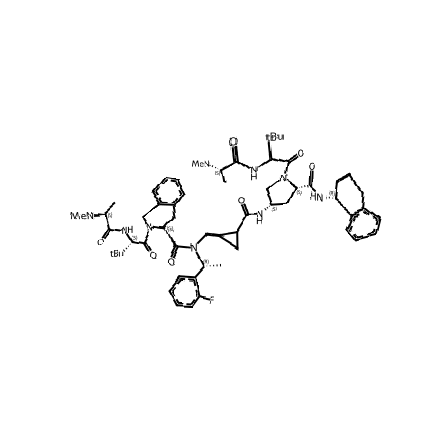 CN[C@@H](C)C(=O)NC(C(=O)N1C[C@@H](NC(=O)C2CC2CN(C(=O)[C@@H]2Cc3ccccc3CN2C(=O)[C@@H](NC(=O)[C@H](C)NC)C(C)(C)C)[C@H](C)c2ccccc2F)C[C@H]1C(=O)N[C@@H]1CCCc2ccccc21)C(C)(C)C